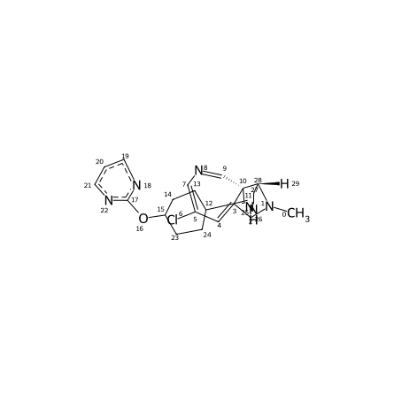 CN1CC2=CC(Cl)=CN=C[C@]23C(C2CCC(Oc4ncccn4)CC2)=NNC[C@@H]13